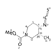 COC(=O)N1CC[C@H](N=C=S)[C@H](C)C1